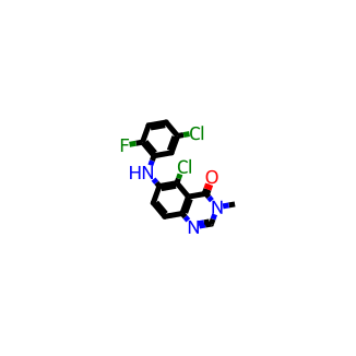 Cn1cnc2ccc(Nc3cc(Cl)ccc3F)c(Cl)c2c1=O